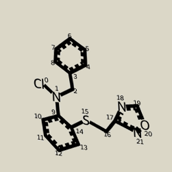 ClN(Cc1ccccc1)c1ccccc1SCc1ncon1